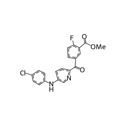 COC(=O)c1cc(C(=O)c2ccc(Nc3ccc(Cl)cc3)cn2)ccc1F